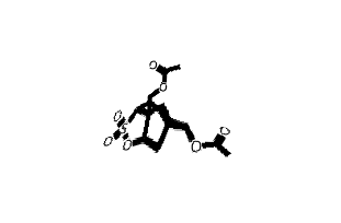 CC(=O)OCC12CC3OS(=O)(=O)C(C1)C3(COC(C)=O)C2